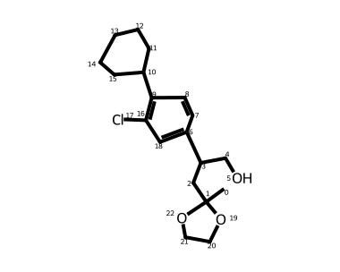 CC1(CC(CO)c2ccc(C3CCCCC3)c(Cl)c2)OCCO1